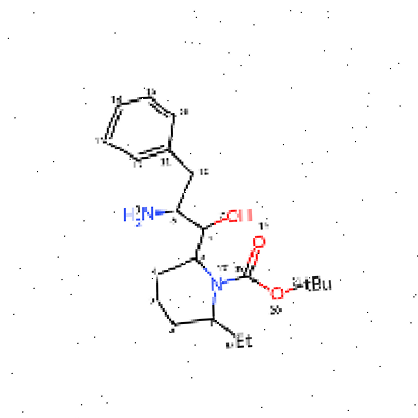 CCC1CCCC(C(O)[C@@H](N)Cc2ccccc2)N1C(=O)OC(C)(C)C